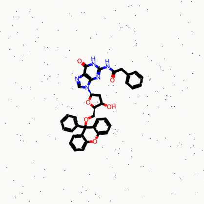 O=C(Cc1ccccc1)Nc1nc2c(ncn2[C@H]2CC(O)[C@@H](COC3(c4ccccc4)c4ccccc4Oc4ccccc43)O2)c(=O)[nH]1